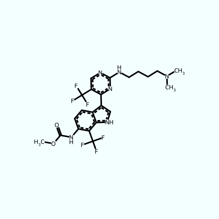 COC(=O)Nc1ccc2c(-c3nc(NCCCCN(C)C)ncc3C(F)(F)F)c[nH]c2c1C(F)(F)F